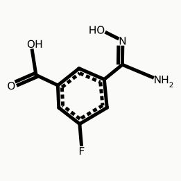 N/C(=N/O)c1cc(F)cc(C(=O)O)c1